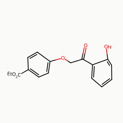 CCOC(=O)c1ccc(OCC(=O)c2ccccc2O)cc1